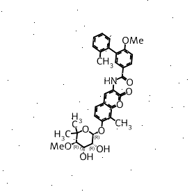 COc1ccc(C(=O)Nc2cc3ccc(O[C@@H]4OC(C)(C)[C@H](OC)[C@@H](O)[C@H]4O)c(C)c3oc2=O)cc1-c1ccccc1C